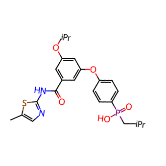 Cc1cnc(NC(=O)c2cc(Oc3ccc(P(=O)(O)CC(C)C)cc3)cc(OC(C)C)c2)s1